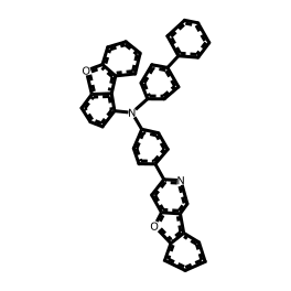 c1ccc(-c2ccc(N(c3ccc(-c4cc5oc6ccccc6c5cn4)cc3)c3cccc4oc5ccccc5c34)cc2)cc1